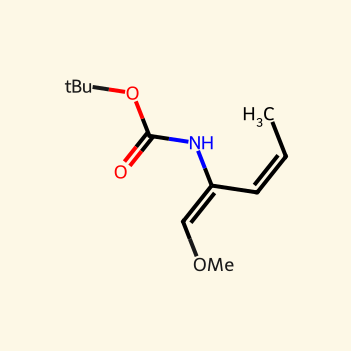 C/C=C\C(=C/OC)NC(=O)OC(C)(C)C